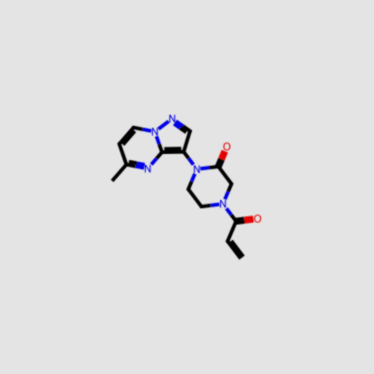 C=CC(=O)N1CCN(c2cnn3ccc(C)nc23)C(=O)C1